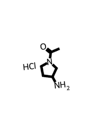 CC(=O)N1CCC(N)C1.Cl